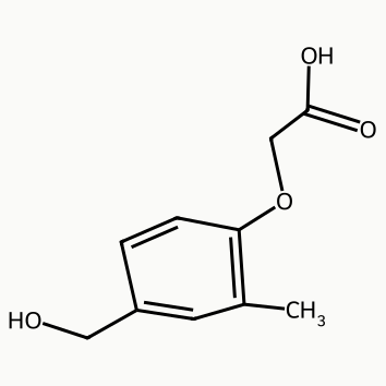 Cc1cc(CO)ccc1OCC(=O)O